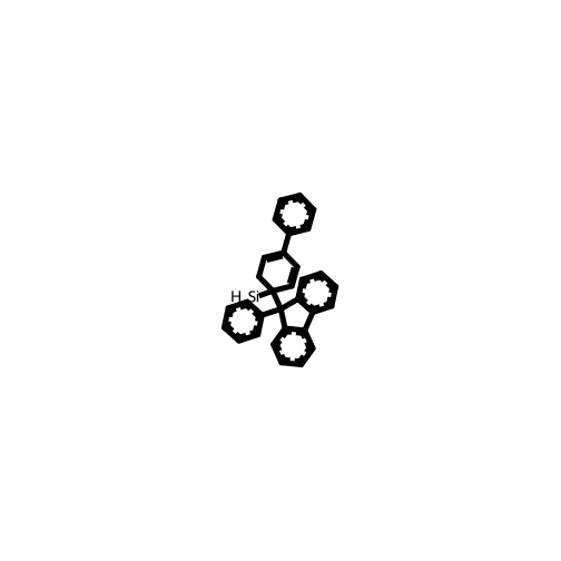 [SiH3]C1(C2(c3ccccc3)c3ccccc3-c3ccccc32)C=CC(c2ccccc2)=CC1